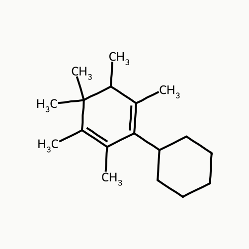 CC1=C(C)C(C)(C)C(C)C(C)=C1C1CCCCC1